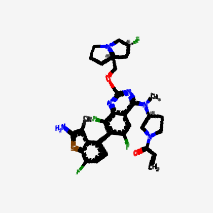 C=CC(=O)N1CC[C@H](N(C)c2nc(OC[C@@]34CCCN3C[C@H](F)C4)nc3c(F)c(-c4ccc(F)c5sc(N)c(C#N)c45)c(F)cc23)C1